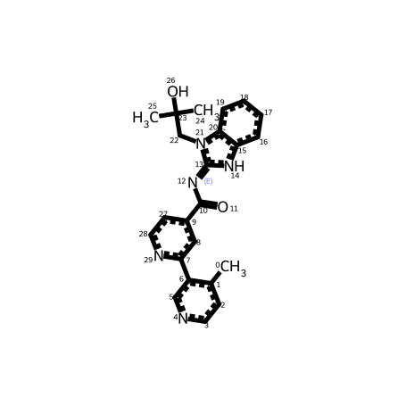 Cc1ccncc1-c1cc(C(=O)/N=c2\[nH]c3ccccc3n2CC(C)(C)O)ccn1